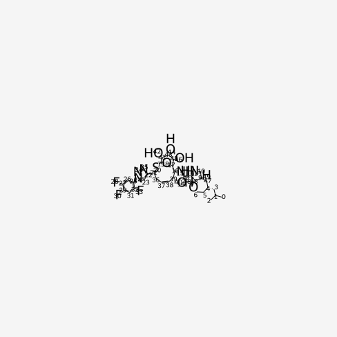 CC(C)C[C@@H]1CCO[C@@H]2[C@H](CN[C@@H]2C(=O)N[C@H]2C3OC(S[C@H](c4cn(-c5cc(F)c(F)cc5F)nn4)C/C=C\[C@H]2C)C(O)C(O)C3O)C1